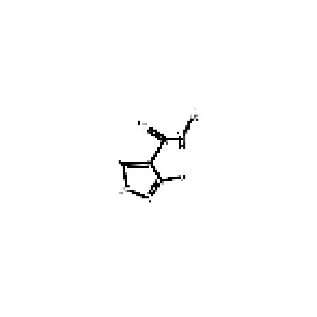 CCNC(=O)c1conc1[O]